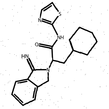 N=C1c2ccccc2CN1C(CC1CCCCC1)C(=O)Nc1nccs1